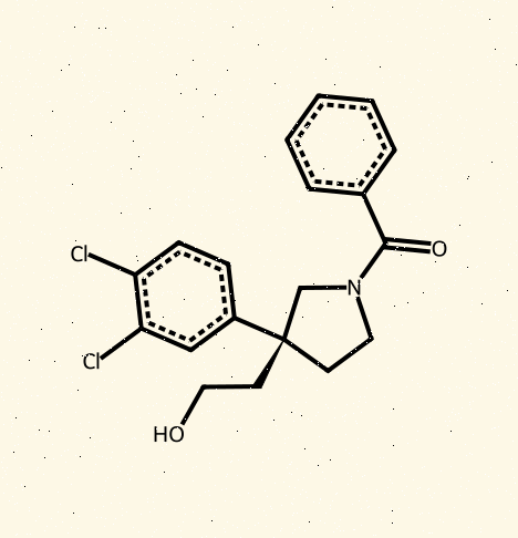 O=C(c1ccccc1)N1CC[C@](CCO)(c2ccc(Cl)c(Cl)c2)C1